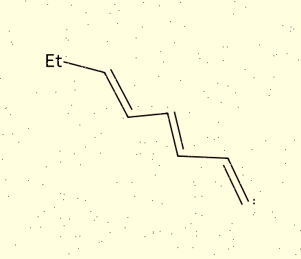 [C]=CC=CC=CCC